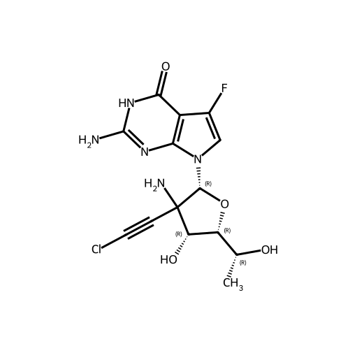 C[C@@H](O)[C@H]1O[C@@H](n2cc(F)c3c(=O)[nH]c(N)nc32)C(N)(C#CCl)[C@H]1O